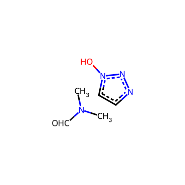 CN(C)C=O.On1ccnn1